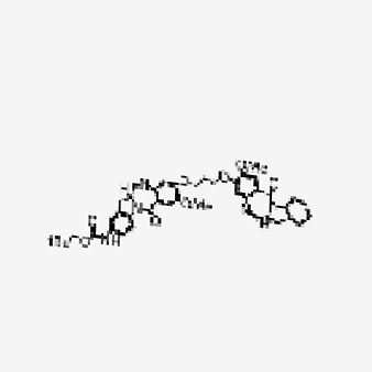 COc1cc2c(cc1OCCCOc1cc3c(cc1OC)C(=O)N1c4ccc(NC(=O)OCC(C)(C)C)cc4C[C@H]1C=N3)N=C[C@@H]1Cc3ccccc3N1C2=O